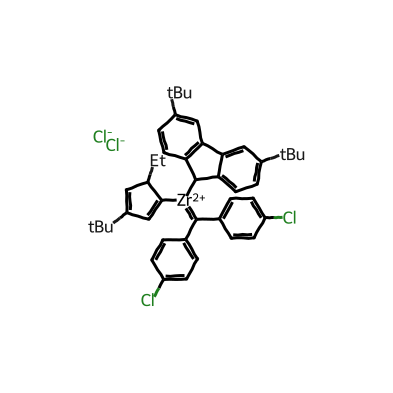 CCC1C=C(C(C)(C)C)C=[C]1[Zr+2](=[C](c1ccc(Cl)cc1)c1ccc(Cl)cc1)[CH]1c2ccc(C(C)(C)C)cc2-c2cc(C(C)(C)C)ccc21.[Cl-].[Cl-]